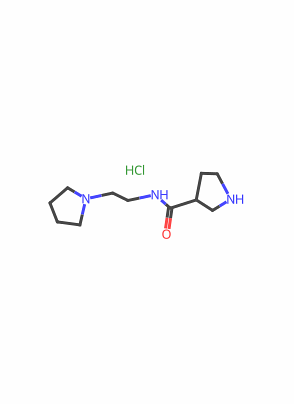 Cl.O=C(NCCN1CCCC1)C1CCNC1